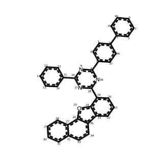 c1ccc(-c2ccc(-c3nc(-c4ccccc4)nc(-c4cccc5c4oc4c6ccccc6ccc54)n3)cc2)cc1